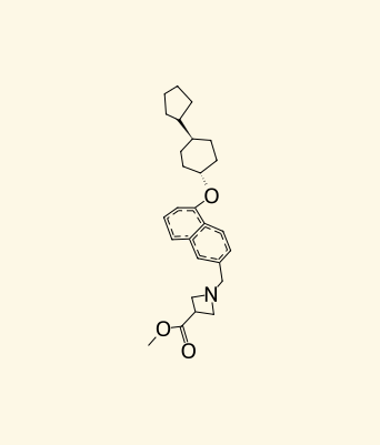 COC(=O)C1CN(Cc2ccc3c(O[C@H]4CC[C@H](C5CCCC5)CC4)cccc3c2)C1